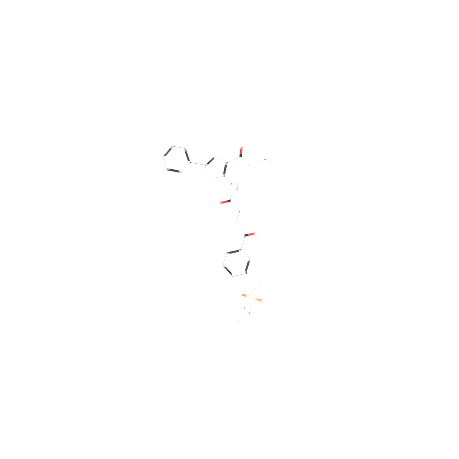 CCOC(=O)c1cc(-c2ccccc2)sc1NC(=O)COC(=O)c1cccc(OS(N)(=O)=O)c1